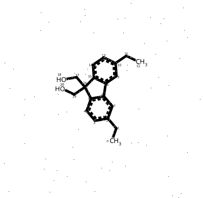 CCc1ccc2c(c1)-c1cc(CC)ccc1C2(CO)CO